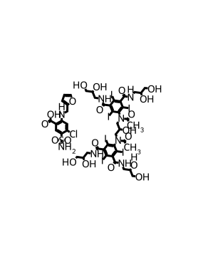 CC(=O)N(CC(O)CN(C(C)=O)c1c(I)c(C(=O)NCC(O)CO)c(I)c(C(=O)NCC(O)CO)c1I)c1c(I)c(C(=O)NCC(O)CO)c(I)c(C(=O)NCC(O)CO)c1I.NS(=O)(=O)c1cc(C(=O)O)c(NCc2ccco2)cc1Cl